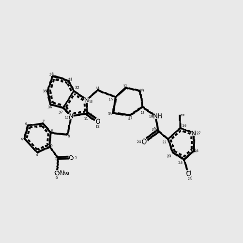 COC(=O)c1ccccc1Cn1c(=O)n(CC2CCC(NC(=O)c3cc(Cl)cnc3C)CC2)c2ccccc21